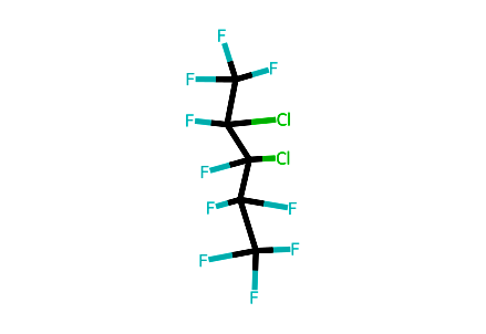 FC(F)(F)C(F)(F)C(F)(Cl)C(F)(Cl)C(F)(F)F